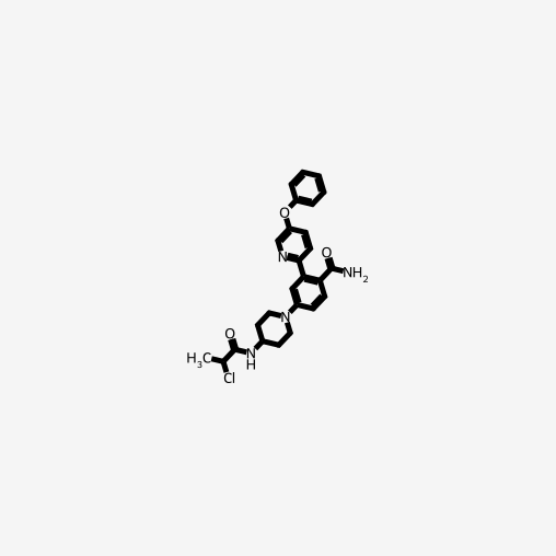 CC(Cl)C(=O)NC1CCN(c2ccc(C(N)=O)c(-c3ccc(Oc4ccccc4)cn3)c2)CC1